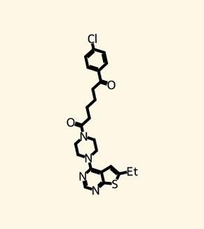 CCc1cc2c(N3CCN(C(=O)CCCCC(=O)c4ccc(Cl)cc4)CC3)ncnc2s1